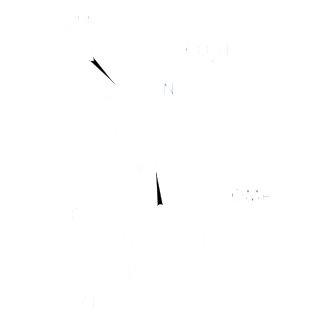 COc1ccc(Cl)c(Cl)c1[C@H]1C[C@@H](C2CO2)N(C(=O)O)C1